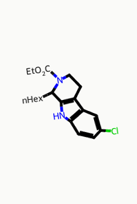 CCCCCCC1c2[nH]c3ccc(Cl)cc3c2CCN1C(=O)OCC